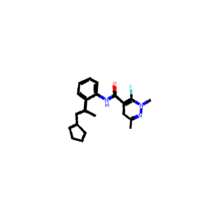 CC1=NN(C)C(F)=C(C(=O)Nc2ccccc2C(C)CC2CCCC2)C1